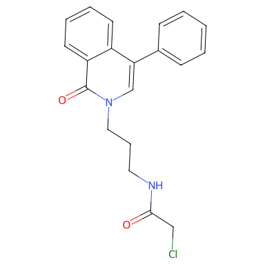 O=C(CCl)NCCCn1cc(-c2ccccc2)c2ccccc2c1=O